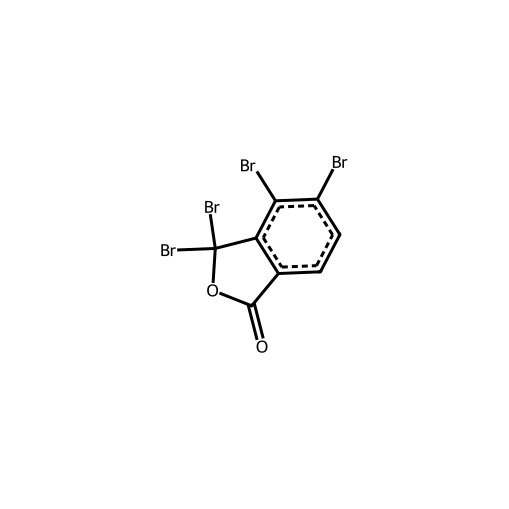 O=C1OC(Br)(Br)c2c1ccc(Br)c2Br